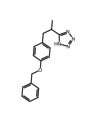 CC(Cc1ccc(OCc2ccccc2)cc1)c1nnn[nH]1